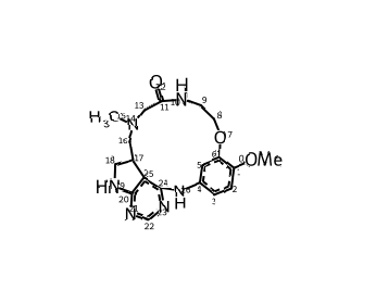 COc1ccc2cc1OCCNC(=O)CN(C)CC1CNc3ncnc(c31)N2